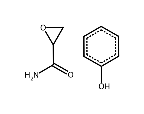 NC(=O)C1CO1.Oc1ccccc1